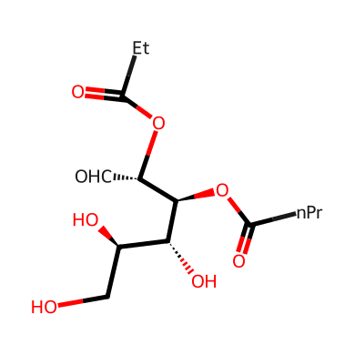 CCCC(=O)O[C@@H]([C@H](O)[C@H](O)CO)[C@H](C=O)OC(=O)CC